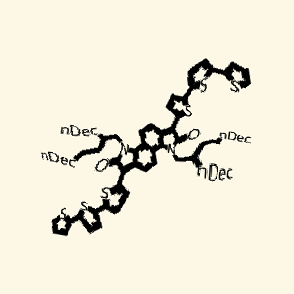 CCCCCCCCCCCCC(CCCCCCCCCC)CN1C(=O)C(c2ccc(-c3ccc(-c4cccs4)s3)s2)=c2ccc3c4c(ccc3c21)=C(c1ccc(-c2ccc(-c3cccs3)s2)s1)C(=O)N4CC(CCCCCCCCCC)CCCCCCCCCCCC